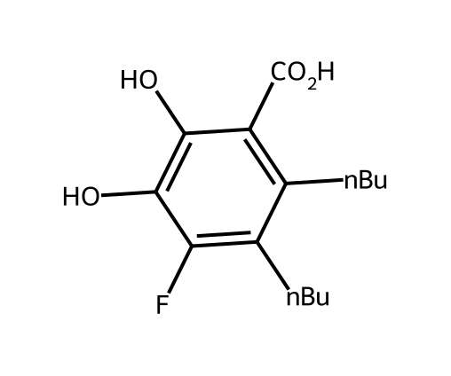 CCCCc1c(F)c(O)c(O)c(C(=O)O)c1CCCC